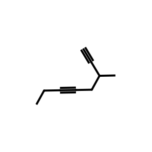 C#CC(C)CC#CCC